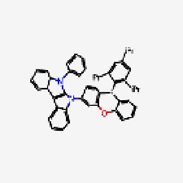 CC(C)c1cc(C(C)C)c(B2c3ccccc3Oc3cc(-n4c5c(c6ccccc64)C4C=CC=CC4N5c4ccccc4)ccc32)c(C(C)C)c1